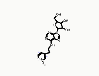 C/C=C\C(=C/C)CCNc1ncnc2c1ncn2C1OC(CO)C(O)C1O